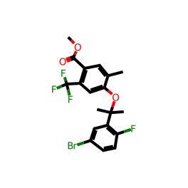 COC(=O)c1cc(C)c(OC(C)(C)c2cc(Br)ccc2F)cc1C(F)(F)F